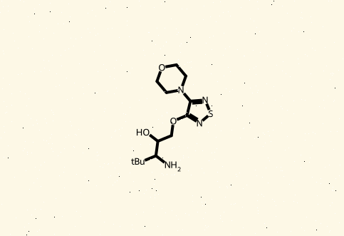 CC(C)(C)C(N)C(O)COc1nsnc1N1CCOCC1